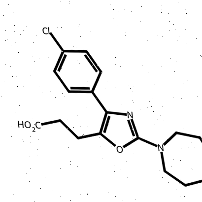 O=C(O)CCc1oc(N2CCCCCC2)nc1-c1ccc(Cl)cc1